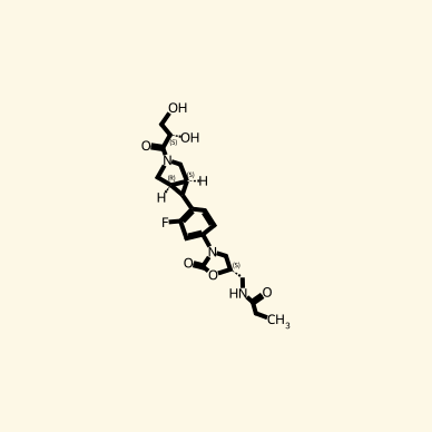 CCC(=O)NC[C@H]1CN(c2ccc(C3[C@H]4CN(C(=O)[C@@H](O)CO)C[C@@H]34)c(F)c2)C(=O)O1